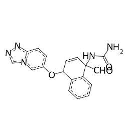 NC(=O)NC1(C=O)C=CC(Oc2ccc3nncn3c2)c2ccccc21